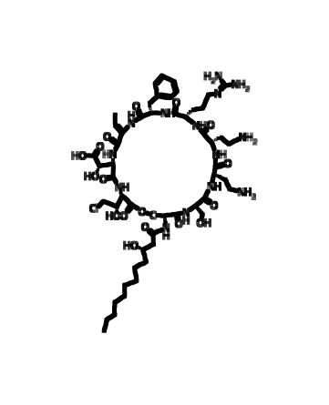 C/C=C1\NC(=O)[C@H](Cc2ccccc2)NC(=O)[C@H](CCCN=C(N)N)NC(=O)[C@H](CCN)NC(=O)[C@@H](CCN)NC(=O)[C@@H](CO)NC(=O)[C@@H](NC(=O)C[C@@H](O)CCCCCCCCC)COC(=O)[C@H]([C@H](O)CCl)NC(=O)[C@H]([C@H](O)C(=O)O)NC1=O